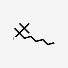 CCCCCCC(C)(F)C(C)(C)C